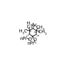 CCCOC1(OCCC)CC(C)(C)C(C(C)=O)C(C)(C)C1